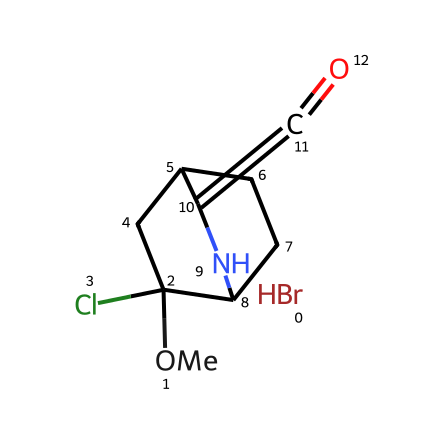 Br.COC1(Cl)CC2CCC1NC2=C=O